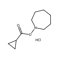 Cl.O=C(ON1CCCCCC1)C1CC1